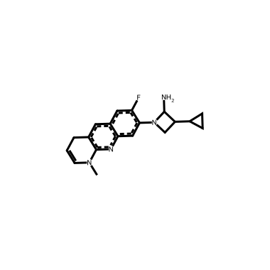 CN1C=CCc2cc3cc(F)c(N4CC(C5CC5)C4N)cc3nc21